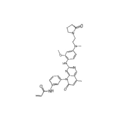 C=CC(=O)Nc1cccc(-n2c(=O)cc(C)c3cnc(Nc4ccc(N(C)CCN5CCCC5=O)cc4OC)nc32)c1